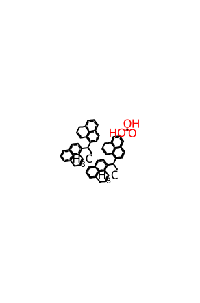 CCC(c1ccc2cccc3c2c1C=CC3)c1ccc2cccc3c2c1C=CC3.CCC(c1ccc2cccc3c2c1C=CC3)c1ccc2cccc3c2c1C=CC3.O=C(O)O